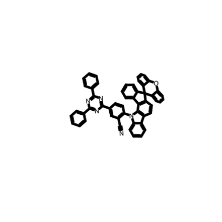 N#Cc1cc(-c2nc(-c3ccccc3)nc(-c3ccccc3)n2)ccc1-n1c2ccccc2c2ccc3c(c21)-c1ccccc1C31c2ccccc2Oc2ccccc21